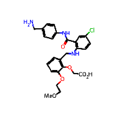 COCCOc1cccc(CNc2ccc(Cl)cc2C(=O)Nc2ccc(CN)cc2)c1OCC(=O)O